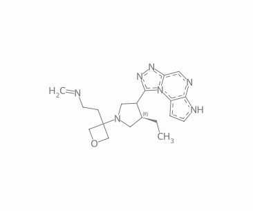 C=NCCC1(N2CC(c3nnc4cnc5[nH]ccc5n34)[C@@H](CC)C2)COC1